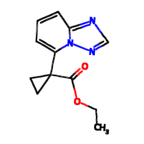 CCOC(=O)C1(c2cccc3ncnn23)CC1